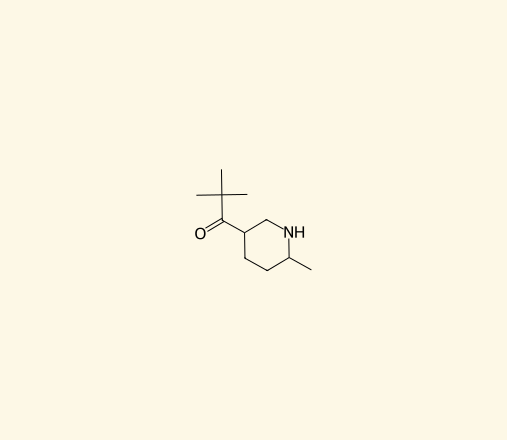 CC1CCC(C(=O)C(C)(C)C)CN1